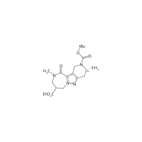 CCOC(=O)C1CN(C)C(=O)c2c3c(nn2C1)C[C@@H](C)N(C(=O)OC(C)(C)C)C3